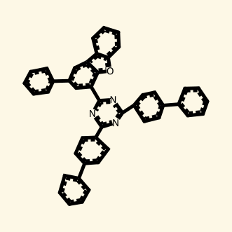 c1ccc(-c2ccc(-c3nc(-c4ccc(-c5ccccc5)cc4)nc(-c4cc(-c5ccccc5)cc5c4oc4ccccc45)n3)cc2)cc1